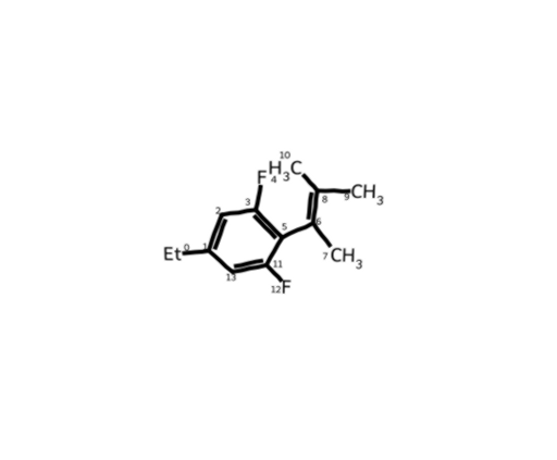 CCc1cc(F)c(C(C)=C(C)C)c(F)c1